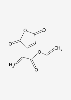 C=COC(=O)C=C.O=C1C=CC(=O)O1